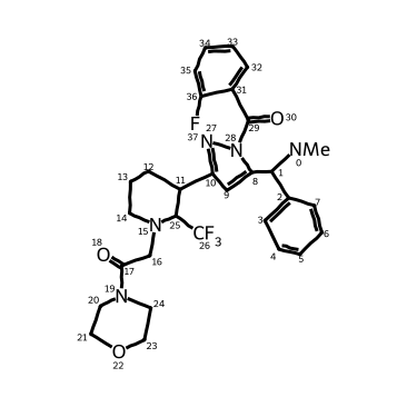 CNC(c1ccccc1)c1cc(C2CCCN(CC(=O)N3CCOCC3)C2C(F)(F)F)nn1C(=O)c1ccccc1F